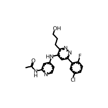 CC(=O)Nc1cc(Nc2cc(-c3cc(Cl)ccc3F)nnc2CCCO)ccn1